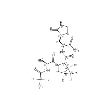 CC(C)(C)[C@H](NC(=O)C(F)(F)C(F)(F)F)C(=O)N1C[C@H]2[C@@H]([C@H]1C(=O)N[C@@H](C[C@@H]1CCNC1=O)C(N)=O)C2(C)C